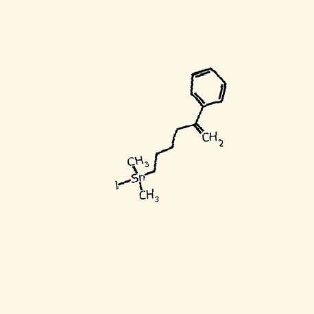 C=C(CCC[CH2][Sn]([CH3])([CH3])[I])c1ccccc1